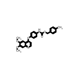 COc1cc2nccc(Oc3ccc(NC(=O)OCc4ccc(C)cc4)cc3)c2cc1OC